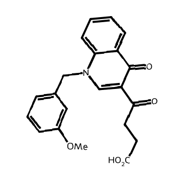 COc1cccc(Cn2cc(C(=O)CCC(=O)O)c(=O)c3ccccc32)c1